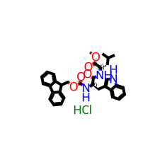 COC(=O)[C@H](CC(C)C)NC(=O)[C@@H](Cc1c[nH]c2ccccc12)NC(=O)OCC1c2ccccc2-c2ccccc21.Cl